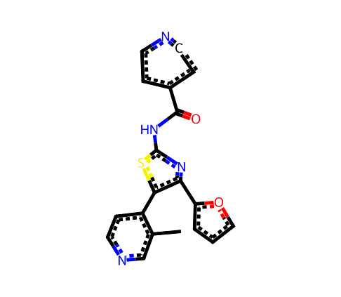 Cc1cnccc1-c1sc(NC(=O)c2ccncc2)nc1-c1ccco1